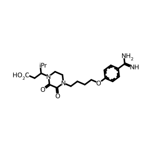 CC(C)C(CC(=O)O)N1CCN(CCCCOc2ccc(C(=N)N)cc2)C(=O)C1=O